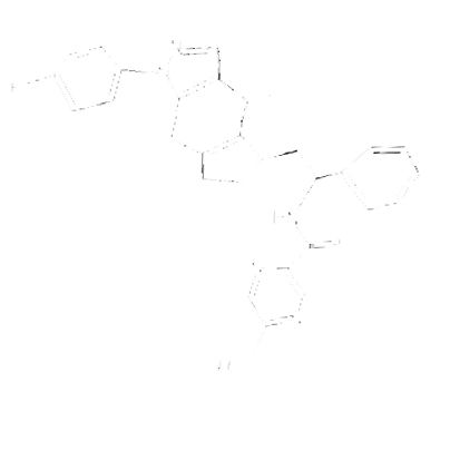 Cc1cnc(C(=O)NC(C[C@H]2CCC3=C2[C@@H](C)c2cnn(-c4ccc(F)cc4)c2C3)c2ccccc2)cn1